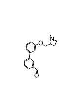 CN1CCC1COc1cccc(-c2cccc(C=O)c2)c1